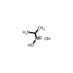 CC(N)NO.Cl.Cl